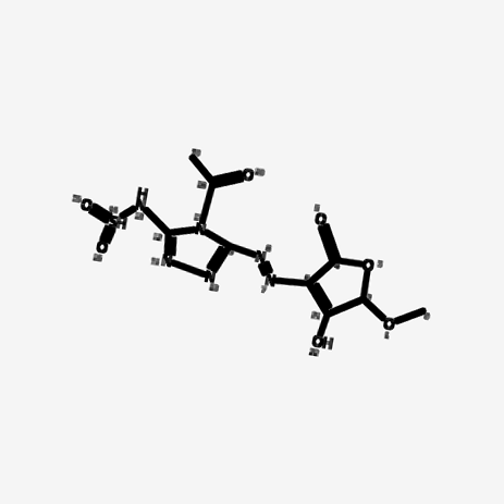 COC1OC(=O)C(N=Nc2nnc(N[SH](=O)=O)n2C(C)=O)=C1O